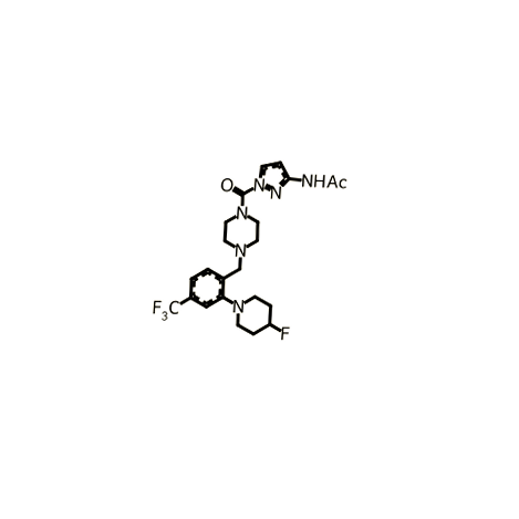 CC(=O)Nc1ccn(C(=O)N2CCN(Cc3ccc(C(F)(F)F)cc3N3CCC(F)CC3)CC2)n1